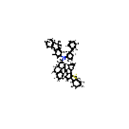 CC1(C)c2ccccc2-c2ccc(N(c3cccc(-c4ccccc4)c3)c3cc4c5c(ccc6cccc(c65)C4(c4ccccc4)c4ccc5c(c4)sc4ccccc45)c3)cc21